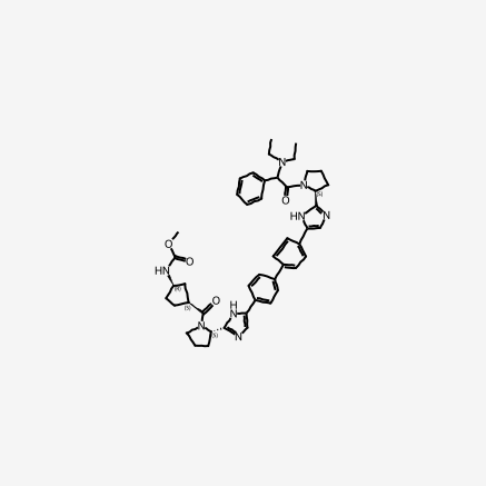 CCN(CC)C(C(=O)N1CCC[C@H]1c1ncc(-c2ccc(-c3ccc(-c4cnc([C@@H]5CCCN5C(=O)[C@H]5CC[C@@H](NC(=O)OC)C5)[nH]4)cc3)cc2)[nH]1)c1ccccc1